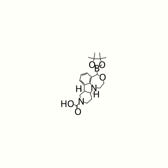 CC1(C)OB(C2OCCN3c4c2cccc4[C@@H]2CN(C(=O)O)CC[C@@H]23)OC1(C)C